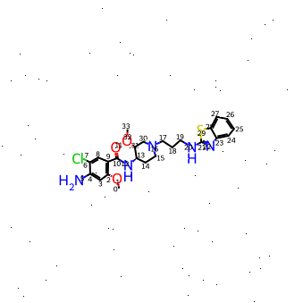 COc1cc(N)c(Cl)cc1C(=O)N[C@@H]1CCN(CCCNc2nc3ccccc3s2)C[C@@H]1OC